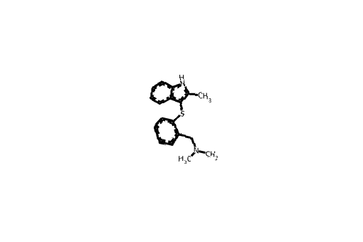 Cc1[nH]c2ccccc2c1Sc1ccccc1CN(C)C